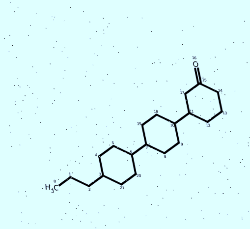 CCCC1CCC(C2CCC(C3CCCC(=O)C3)CC2)CC1